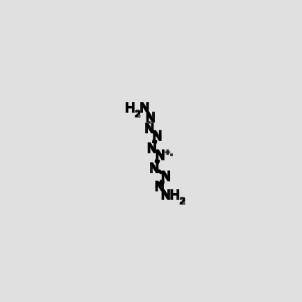 NN=NN=N[N+]=NN=NN